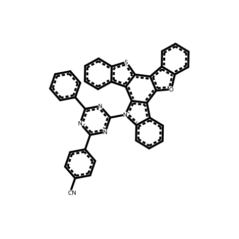 N#Cc1ccc(-c2nc(-c3ccccc3)nc(-n3c4ccccc4c4c5oc6ccccc6c5c5sc6ccccc6c5c43)n2)cc1